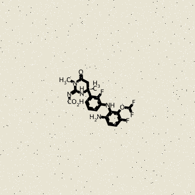 CN1C(=O)C[C@@](C)(c2cccc(Nc3c(N)ccc(F)c3OC(F)F)c2F)N/C1=N\C(=O)O